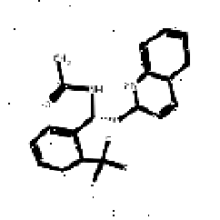 CC(=O)N[C@H](CC1C=CC2CC=CC=C2N1)C1=CC=CCC1C(F)(F)F